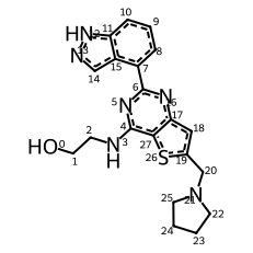 OCCNc1nc(-c2cccc3[nH]ncc23)nc2cc(CN3CCCC3)sc12